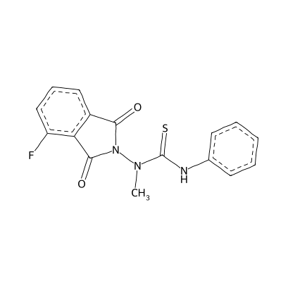 CN(C(=S)Nc1ccccc1)N1C(=O)c2cccc(F)c2C1=O